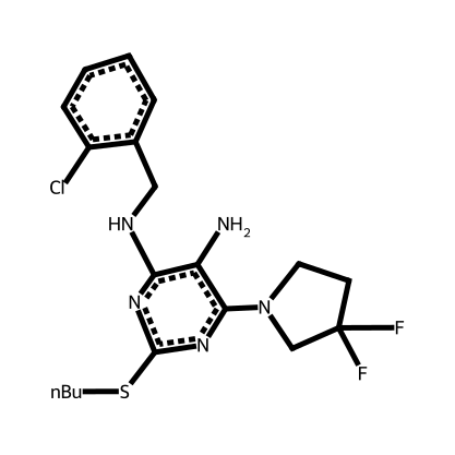 CCCCSc1nc(NCc2ccccc2Cl)c(N)c(N2CCC(F)(F)C2)n1